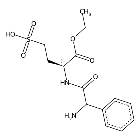 CCOC(=O)[C@H](CCS(=O)(=O)O)NC(=O)C(N)c1ccccc1